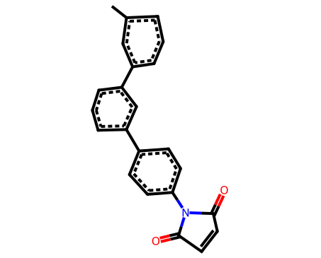 Cc1cccc(-c2cccc(-c3ccc(N4C(=O)C=CC4=O)cc3)c2)c1